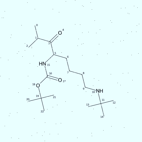 CC(C)C(=O)C(CCCCNC(C)(C)C)NC(=O)OC(C)(C)C